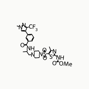 COC(=O)Nc1nc(C)c(S(=O)(=O)N2CCN(CC(C)NC(=O)c3cccc(-c4cn(C)nc4C(F)(F)F)c3)CC2)s1